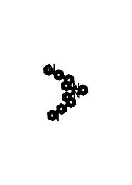 c1ccc(-c2ccc(-c3cccc4c(-c5nc6ccccc6nc5-c5cccc6c(-c7ccc(-c8ccccn8)cc7)cccc56)cccc34)cc2)nc1